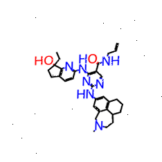 C=CCNC(=O)c1cnc(Nc2cc3c4c(c2)CN(C)CCC4(C)CCC3)nc1Nc1ccc2c(n1)C(O)(CC)CC2